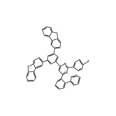 Fc1ccc(-c2nc(-c3cc(-c4ccc5sc6ccccc6c5c4)cc(-c4ccc5sc6ccccc6c5c4)c3)cc(-c3ccccc3-c3cccnc3)n2)cc1